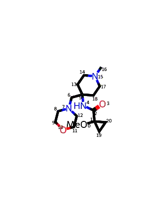 COC1(C(=O)NC2(CN3CCOCC3)CCN(C)CC2)CC1